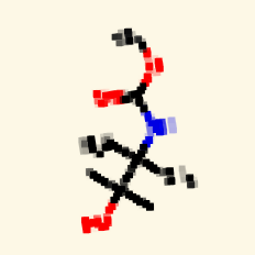 BC(B)(NC(=O)OC(C)(C)C)C(C)(C)O